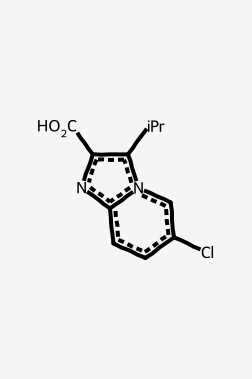 CC(C)c1c(C(=O)O)nc2ccc(Cl)cn12